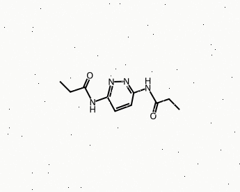 CCC(=O)Nc1ccc(NC(=O)CC)nn1